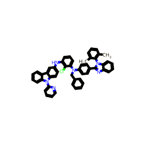 Cc1cccc(C)c1-n1c(-c2ccc(N(Cc3ccccc3)c3cccc(Nc4ccc5c(c4)c4ccccc4n5-c4ccccn4)c3Cl)cc2)nc2ccccc21